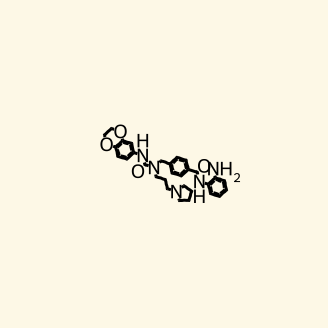 Nc1ccccc1NC(=O)c1ccc(CN(CCCN2CCCC2)C(=O)Nc2ccc3c(c2)OCCO3)cc1